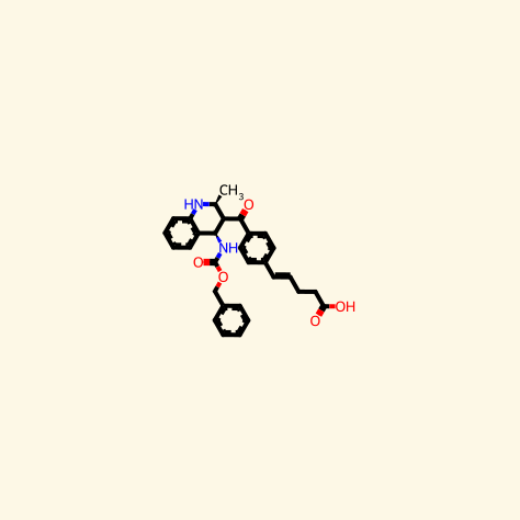 C[C@@H]1Nc2ccccc2[C@H](NC(=O)OCc2ccccc2)C1C(=O)c1ccc(/C=C/CCC(=O)O)cc1